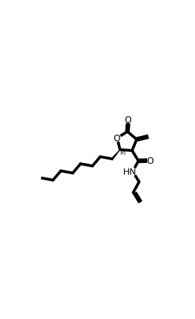 C=CCNC(=O)C1C(=C)C(=O)O[C@@H]1CCCCCCCC